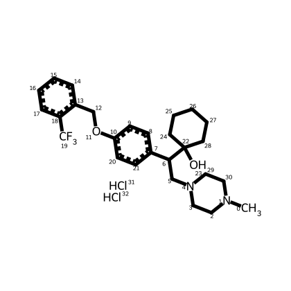 CN1CCN(CC(c2ccc(OCc3ccccc3C(F)(F)F)cc2)C2(O)CCCCC2)CC1.Cl.Cl